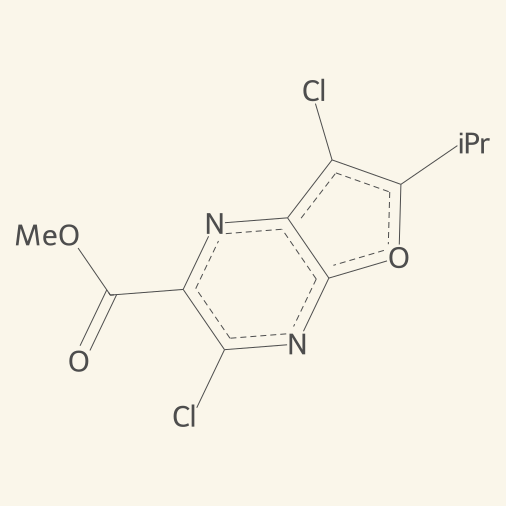 COC(=O)c1nc2c(Cl)c(C(C)C)oc2nc1Cl